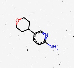 Nc1ccc(C2CCOCC2)cn1